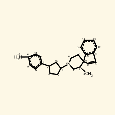 C[C@H]1CN(C2CCC(c3ccc(N)cc3)C2)CCC12C=Cc1ccccc12